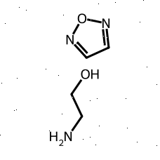 NCCO.c1cnon1